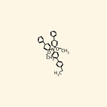 C=Cc1ccc(-c2ccc(N(C3(OCC)C=CC(c4ccccc4)C=C3)C3(OCC)C=CC(c4ccccc4)C=C3)cc2)cc1